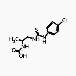 CC(CNC(=S)Nc1ccc(Cl)cc1)NC(=O)O